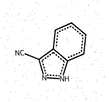 N#[14C]c1n[nH]c2ccccc12